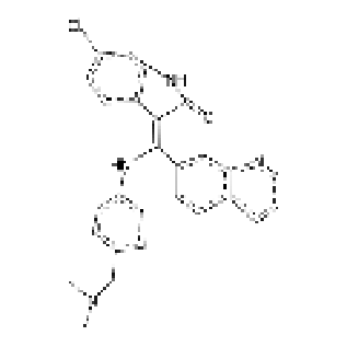 CN(C)Cc1ccc(NC(=C2C(=O)Nc3cc(Cl)ccc32)c2ccc3cccnc3c2)cc1